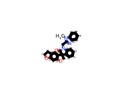 Cn1c(CN2C(=O)C3(COc4cc5c(cc43)CCO5)c3ccccc32)nc2ccccc21